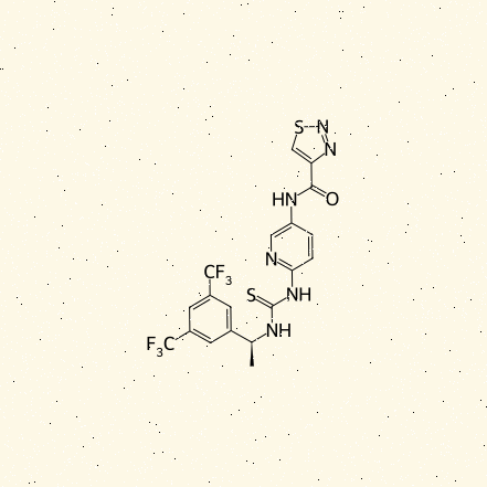 C[C@H](NC(=S)Nc1ccc(NC(=O)c2csnn2)cn1)c1cc(C(F)(F)F)cc(C(F)(F)F)c1